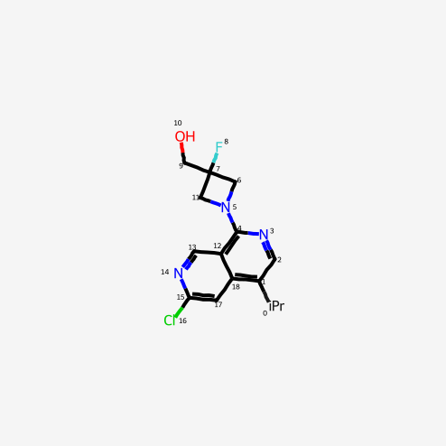 CC(C)c1cnc(N2CC(F)(CO)C2)c2cnc(Cl)cc12